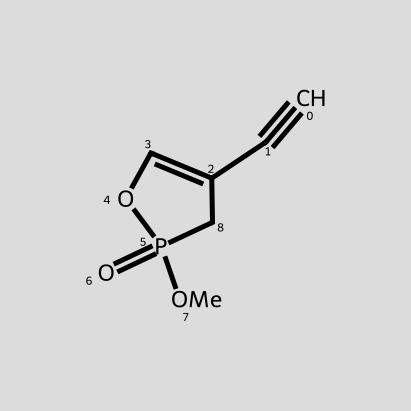 C#CC1=COP(=O)(OC)C1